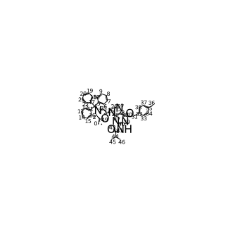 [CH2][C@H]1CN(C(c2ccccc2)(c2ccccc2)c2ccccc2)C[C@H](n2cnc3c(OCc4ccc(C)cc4)nc(NC(=O)C(C)C)nc32)O1